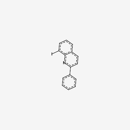 Ic1cccc2ccc(-c3ccccc3)nc12